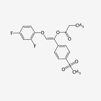 CCC(=O)OC(=COc1ccc(F)cc1F)c1ccc(S(C)(=O)=O)cc1